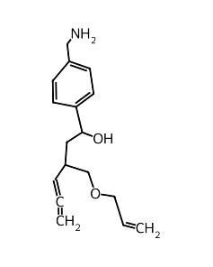 C=C=CC(COCC=C)CC(O)c1ccc(CN)cc1